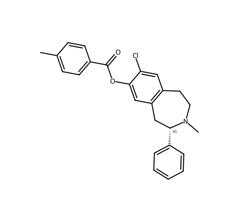 Cc1ccc(C(=O)Oc2cc3c(cc2Cl)CCN(C)[C@H](c2ccccc2)C3)cc1